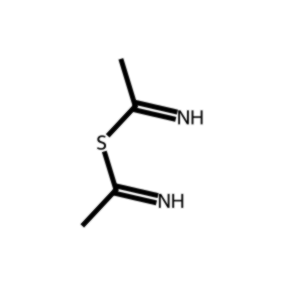 CC(=N)SC(C)=N